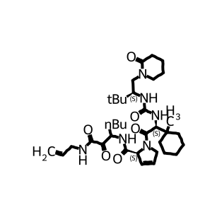 C=CCNC(=O)C(=O)C(CCCC)NC(=O)[C@@H]1C=CCN1C(=O)[C@@H](NC(=O)N[C@H](CN1CCCCC1=O)C(C)(C)C)C1(C)CCCCC1